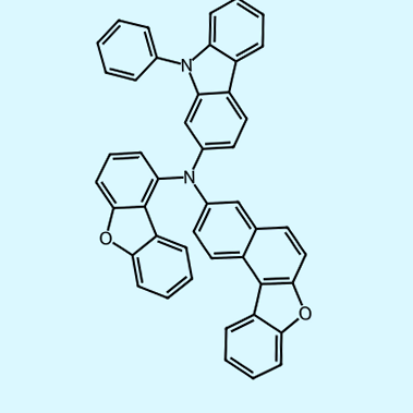 c1ccc(-n2c3ccccc3c3ccc(N(c4ccc5c(ccc6oc7ccccc7c65)c4)c4cccc5oc6ccccc6c45)cc32)cc1